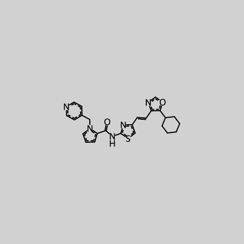 O=C(Nc1nc(C=Cc2ncoc2C2CCCCC2)cs1)c1cccn1Cc1ccncc1